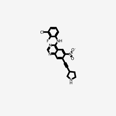 O=[N+]([O-])c1cc2c(Nc3cccc(Cl)c3F)ncnc2cc1C#CC1CCNC1